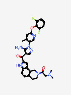 Cc1cc(Oc2c(F)cccc2F)ncc1-n1ncc(C(=O)c2cc3c4c(ccc3[nH]2)CCN(C(=O)CN(C)C)C4)c1N